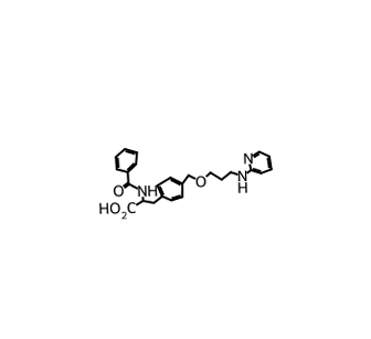 O=C(NC(Cc1ccc(COCCCNc2ccccn2)cc1)C(=O)O)c1ccccc1